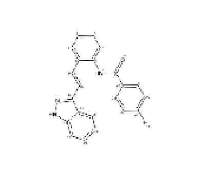 O=C(Nc1ccccc1C=Cc1n[nH]c2ccccc12)c1ccc(F)cc1